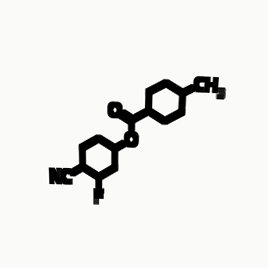 CC1CCC(C(=O)OC2CCC(C#N)C(F)C2)CC1